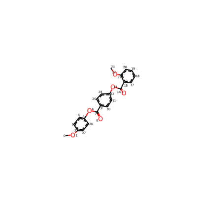 COc1ccc(OC(=O)c2ccc(OC(=O)c3ccccc3OC)cc2)cc1